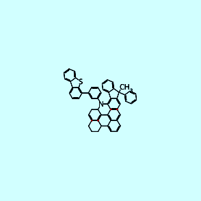 CC1(c2ccccc2)c2ccccc2-c2c(N(c3cccc(-c4cccc5c4sc4ccccc45)c3)C3CC=CC=C3C3=c4c(C5CCCCC5)cccc4=CCC3)cccc21